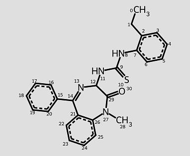 CCc1ccccc1NC(=S)NC1N=C(c2ccccc2)c2ccccc2N(C)C1=O